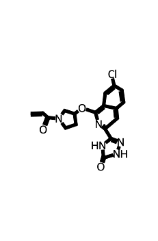 C=CC(=O)N1CCC(Oc2nc(-c3n[nH]c(=O)[nH]3)cc3ccc(Cl)cc23)C1